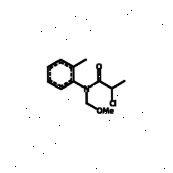 COCN(C(=O)C(C)Cl)c1ccccc1C